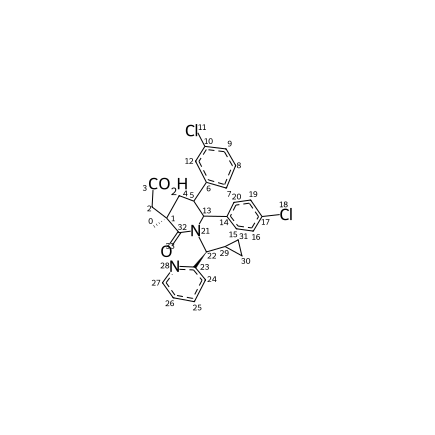 C[C@]1(CC(=O)O)CC(c2cccc(Cl)c2)C(c2ccc(Cl)cc2)N([C@H](c2ccccn2)C2CC2)C1=O